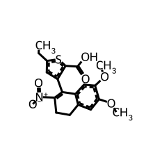 CCc1cc(C2=C([N+](=O)[O-])CCc3cc(OC)c(OC)cc32)c(C(=O)O)s1